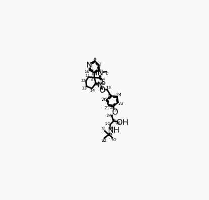 CNC(=S)C1(c2cccnc2)CCCCC1=NOCc1ccc(OCC(O)CNC(C)(C)C)cc1